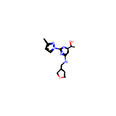 Cc1ccn(-c2nc(NCC3CCOC3)cc(C(C)O)n2)n1